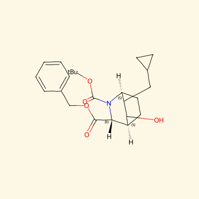 CC(C)(C)OC(=O)N1[C@H]2CC[C@H](C(O)C2CC2CC2)[C@@H]1C(=O)OCc1ccccc1